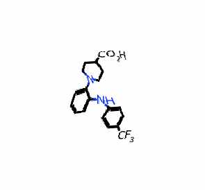 O=C(O)C1CCN(c2ccccc2Nc2ccc(C(F)(F)F)cc2)CC1